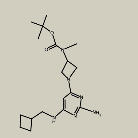 CN(C(=O)OC(C)(C)C)C1CN(c2cc(NCC3CCC3)nc(N)n2)C1